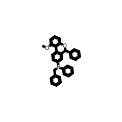 COc1cccc2c1-c1ccc(N(Cc3ccccc3)c3ccccc3)cc1C(c1ccccc1)O2